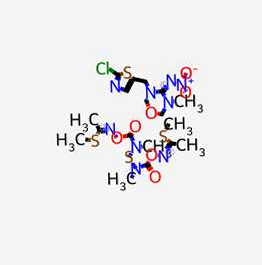 CN1COCN(Cc2cnc(Cl)s2)/C1=N/[N+](=O)[O-].CS/C(C)=N\OC(=O)N(C)SN(C)C(=O)O/N=C(/C)SC